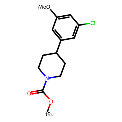 COc1cc(Cl)cc(C2CCN(C(=O)OC(C)(C)C)CC2)c1